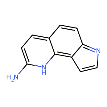 Nc1ccc2ccc3nccc3c2[nH]1